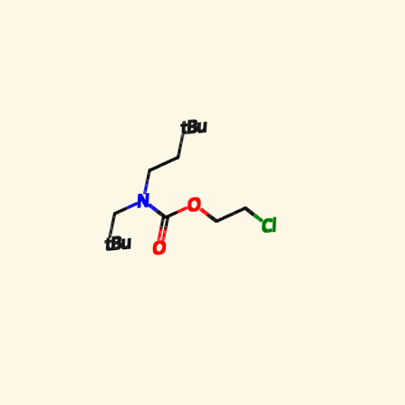 CC(C)(C)CCN(CC(C)(C)C)C(=O)OCCCl